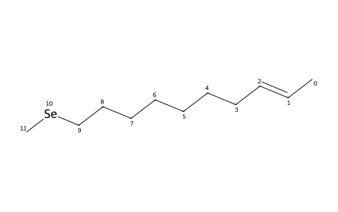 CC=CCCCCCCC[Se]C